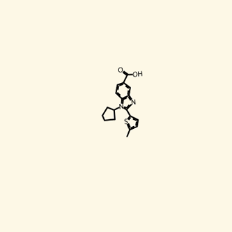 Cc1ccc(-c2nc3cc(C(=O)O)ccc3n2C2CCCC2)s1